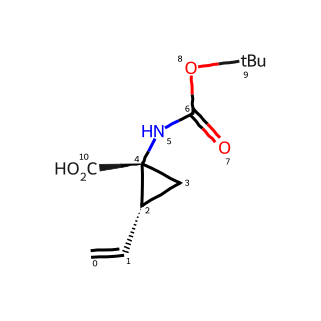 C=C[C@H]1C[C@]1(NC(=O)OC(C)(C)C)C(=O)O